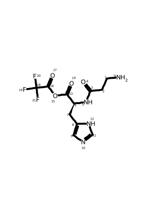 NCCC(=O)N[C@@H](Cc1cnc[nH]1)C(=O)OC(=O)C(F)(F)F